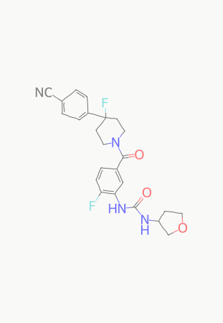 N#Cc1ccc(C2(F)CCN(C(=O)c3ccc(F)c(NC(=O)NC4CCOC4)c3)CC2)cc1